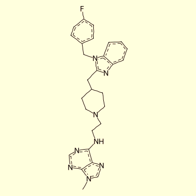 Cn1cnc2c(NCCN3CCC(Cc4nc5ccccc5n4Cc4ccc(F)cc4)CC3)ncnc21